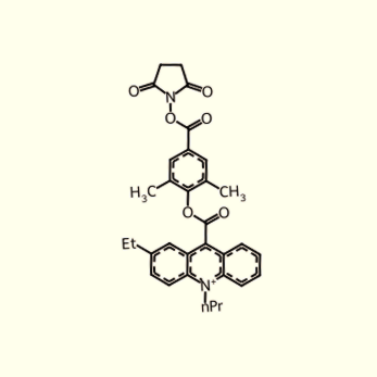 CCC[n+]1c2ccccc2c(C(=O)Oc2c(C)cc(C(=O)ON3C(=O)CCC3=O)cc2C)c2cc(CC)ccc21